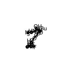 Cc1ncsc1-c1ccc(CNC(=O)[C@@H]2C[C@@H](O)CN2C(=O)C(N(C)C(=O)COCCOCCOCCOc2cc(F)c([C@@H]3c4[nH]c5ccccc5c4C[C@@H](C)N3CC(C)(C)F)c(F)c2)C(C)(C)C)cc1